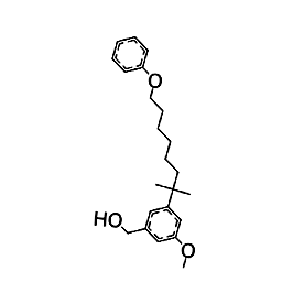 COc1cc(CO)cc(C(C)(C)CCCCCCOc2ccccc2)c1